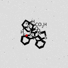 CCN(Cc1cscn1)C(=O)N1[C@H]2CC[C@@H]1[C@@H](C(=O)O)N(C(=O)N(c1ccccc1)c1ccccc1)C2